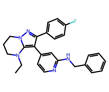 CCN1CCCn2nc(-c3ccc(F)cc3)c(-c3ccnc(NCc4ccccc4)c3)c21